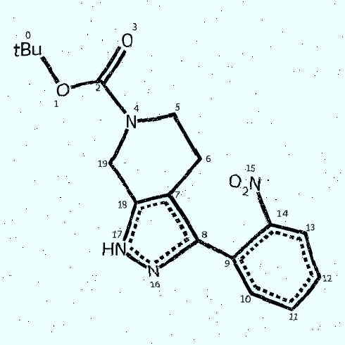 CC(C)(C)OC(=O)N1CCc2c(-c3ccccc3[N+](=O)[O-])n[nH]c2C1